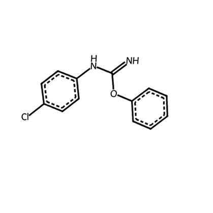 N=C(Nc1ccc(Cl)cc1)Oc1ccccc1